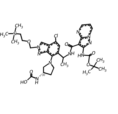 CC(NC(=O)c1c(NC(=O)OC(C)(C)C)nn2cccnc12)c1cc(Cl)c2cn(COCC[Si](C)(C)C)nc2c1N1CC[C@H](NC(=O)O)C1